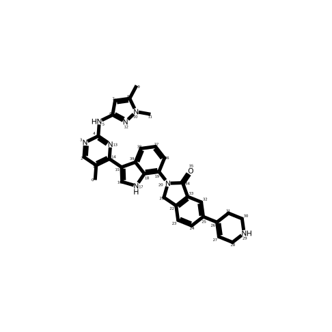 Cc1cnc(Nc2cc(C)n(C)n2)nc1-c1c[nH]c2c(N3Cc4ccc(C5=CCNCC5)cc4C3=O)cccc12